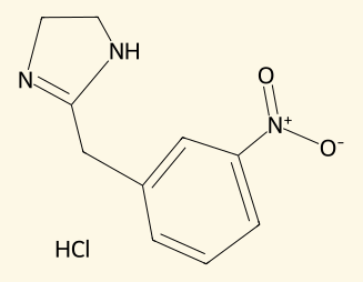 Cl.O=[N+]([O-])c1cccc(CC2=NCCN2)c1